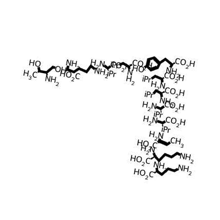 CC(C)C[C@H](N)C(=O)O.CC(C)C[C@H](N)C(=O)O.CC(C)C[C@H](N)C(=O)O.CC(C)[C@H](N)C(=O)O.CC(C)[C@H](N)C(=O)O.CC(C)[C@H](N)C(=O)O.CC=C(N)C(=O)O.C[C@@H](O)[C@H](N)CO.NCCCC[C@H](N)C(=O)O.NCCCC[C@H](N)C(=O)O.NCCC[C@H](N)C(=O)O.N[C@@H](Cc1ccc(O)cc1)C(=O)O